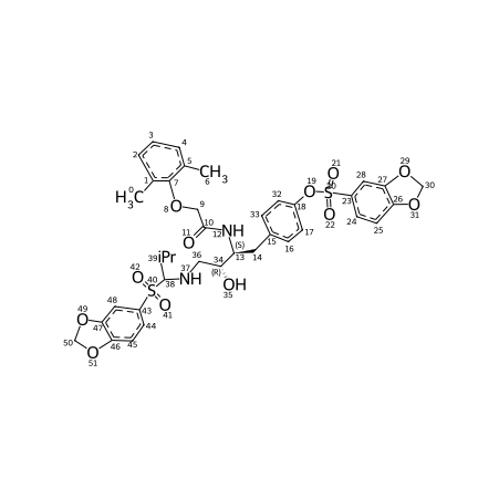 Cc1cccc(C)c1OCC(=O)N[C@@H](Cc1ccc(OS(=O)(=O)c2ccc3c(c2)OCO3)cc1)[C@H](O)CNC(C(C)C)S(=O)(=O)c1ccc2c(c1)OCO2